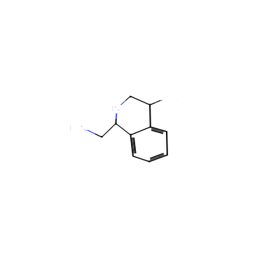 CCCCCC1CNC(CN)c2ccccc21